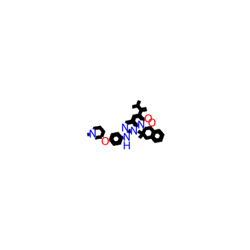 C=C(c1cc2cnc(Nc3ccc(OC4CCCN(C)C4)cc3)nc2n(C2C(=O)c3ccccc3CC2(C)C)c1=O)C(C)C